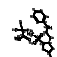 CS(=O)(=O)N1C[C@H](S)C[C@H]1CCNc1ccccc1.O=C(O)C(F)(F)F